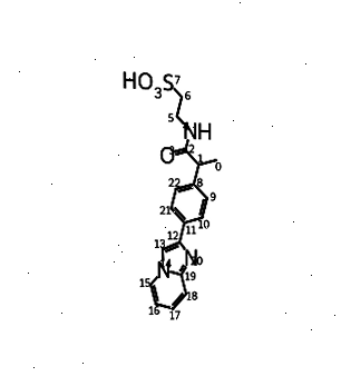 CC(C(=O)NCCS(=O)(=O)O)c1ccc(-c2cn3ccccc3n2)cc1